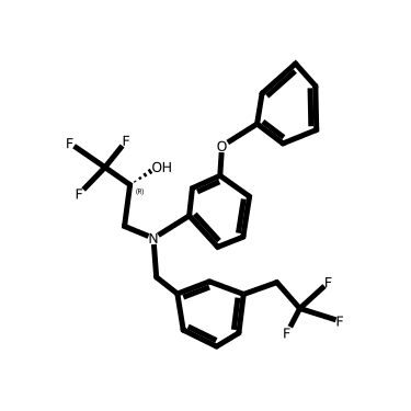 O[C@H](CN(Cc1cccc(CC(F)(F)F)c1)c1cccc(Oc2ccccc2)c1)C(F)(F)F